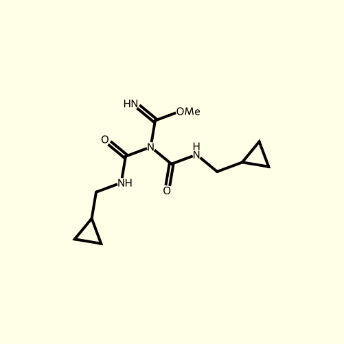 COC(=N)N(C(=O)NCC1CC1)C(=O)NCC1CC1